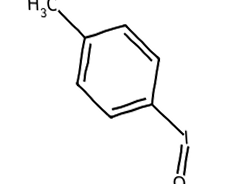 Cc1ccc(I=O)cc1